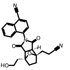 N#CCC[C@@]12CC[C@](CCO)(O1)C1C(=O)N(c3ccc(C#N)c4ccccc34)C(=O)[C@H]12